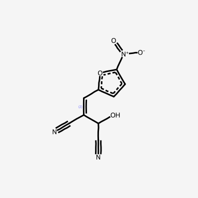 N#C/C(=C/c1ccc([N+](=O)[O-])o1)C(O)C#N